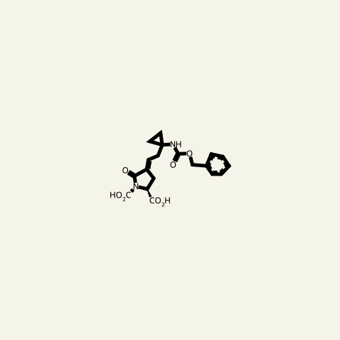 O=C(NC1(C/C=C2\C[C@@H](C(=O)O)N(C(=O)O)C2=O)CC1)OCc1ccccc1